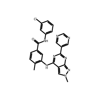 Cc1ccc(C(=O)Nc2cccc(Cl)c2)cc1Nc1nc(-c2cncnc2)nc2nn(C)cc12